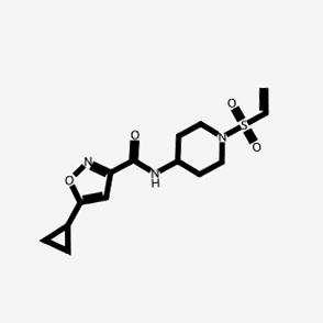 C=CS(=O)(=O)N1CCC(NC(=O)c2cc(C3CC3)on2)CC1